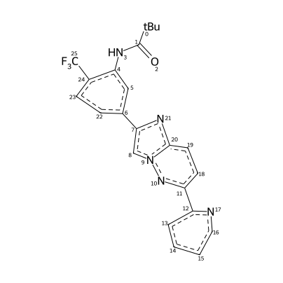 CC(C)(C)C(=O)Nc1cc(-c2cn3nc(-c4ccccn4)ccc3n2)ccc1C(F)(F)F